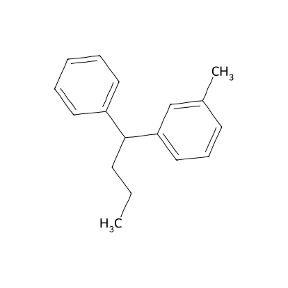 CCCC(c1ccccc1)c1cccc(C)c1